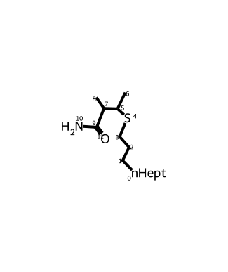 CCCCCCCCCCSC(C)C(C)C(N)=O